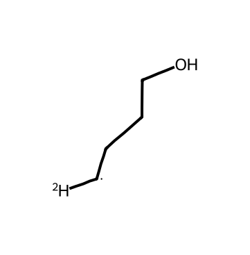 [2H][CH]CCCO